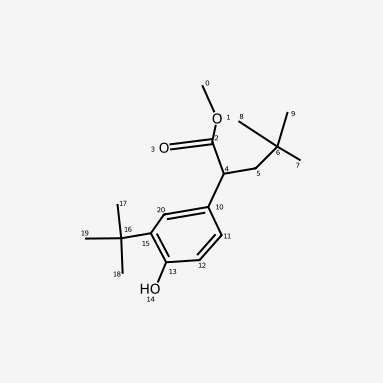 COC(=O)C(CC(C)(C)C)c1ccc(O)c(C(C)(C)C)c1